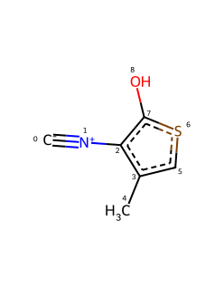 [C-]#[N+]c1c(C)csc1O